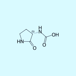 O=C(O)N[C@H]1CCNC1=O